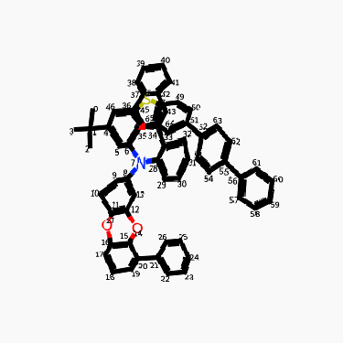 CC(C)(C)c1cc(N(c2ccc3c(c2)Oc2c(cccc2-c2ccccc2)O3)c2ccccc2-c2ccc3ccccc3c2)c2c(c1)sc1ccc(-c3ccc(-c4ccccc4)cc3)cc12